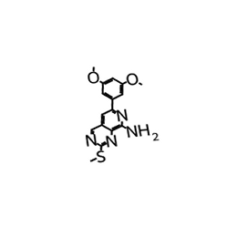 COc1cc(OC)cc(-c2cc3cnc(SC)nc3c(N)n2)c1